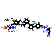 COc1cc(Cn2ccc3c(-c4cccc(-c5ccc(CNC[C@@H]6CCC(=O)N6)cc5)c4Cl)cccc32)c(Cl)cc1CNC(CO)C(=O)O